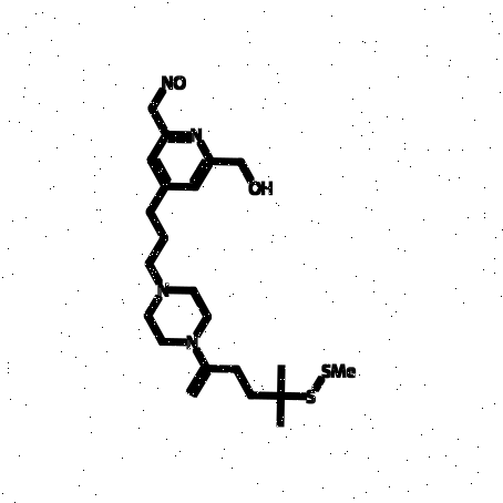 C=C(CCC(C)(C)SSC)N1CCN(CCCc2cc(CO)nc(CN=O)c2)CC1